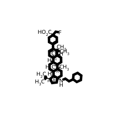 C=C(C)[C@@H]1CC[C@]2(NCCC3CCCCC3)CC[C@]3(C)[C@H](CC[C@@H]4[C@@]5(C)CC=C(C6=CC[C@](CF)(C(=O)O)CC6)C(C)(C)[C@@H]5CC[C@]43C)[C@@H]12